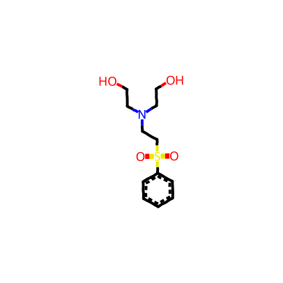 O=S(=O)(CCN(CCO)CCO)c1ccccc1